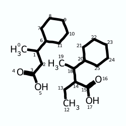 CC(CC(=O)O)C1CCCCC1.CCC(C(=O)O)C(C)C1CCCCC1